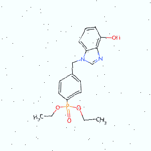 CCOP(=O)(OCC)c1ccc(Cn2cnc3c(O)cccc32)cc1